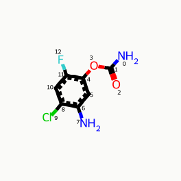 NC(=O)Oc1cc(N)c(Cl)cc1F